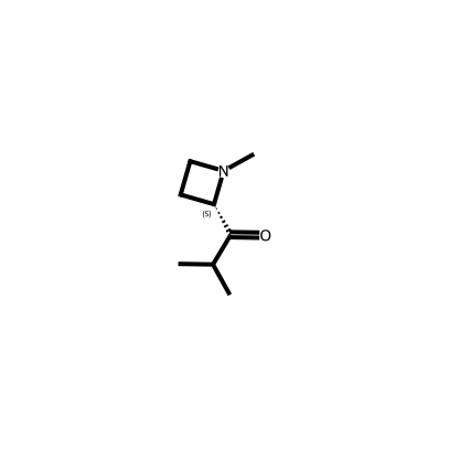 CC(C)C(=O)[C@@H]1CCN1C